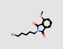 COc1cccc2c1C(=O)N(CCCCCBr)C2=O